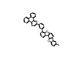 Cc1ccc2oc3c(ccc4oc5c(-c6cccc(-c7cnc8c9ccccc9c9ccccc9c8n7)c6)cccc5c43)c2c1